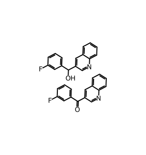 O=C(c1cccc(F)c1)c1cnc2ccccc2c1.OC(c1cccc(F)c1)c1cnc2ccccc2c1